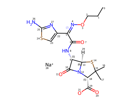 CCCO/N=C(\C(=O)N[C@H]1C(=O)N2[C@@H]1SC(C)(C)[C@@H]2C(=O)[O-])c1csc(N)n1.[Na+]